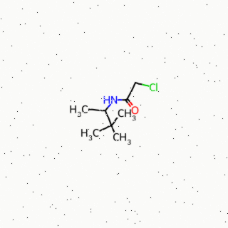 CC(NC(=O)CCl)C(C)(C)C